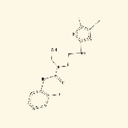 Cc1nc(NCCN(CO)C(=O)Nc2ccncc2F)sc1C